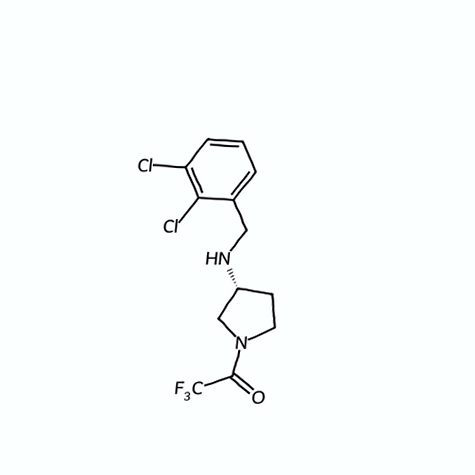 O=C(N1CC[C@@H](NCc2cccc(Cl)c2Cl)C1)C(F)(F)F